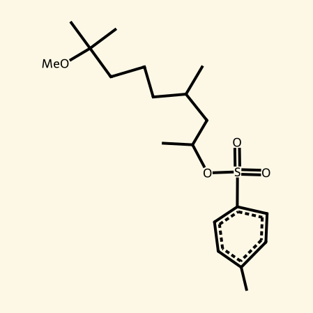 COC(C)(C)CCCC(C)CC(C)OS(=O)(=O)c1ccc(C)cc1